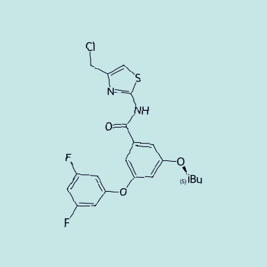 CC[C@H](C)Oc1cc(Oc2cc(F)cc(F)c2)cc(C(=O)Nc2nc(CCl)cs2)c1